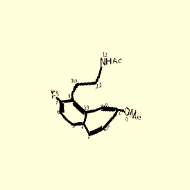 COc1ccc2ccc(F)c(CCNC(C)=O)c2c1